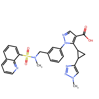 CN(Cc1cccc(-n2ncc(C(=O)O)c2C2CC2c2cn(C)nn2)c1)S(=O)(=O)c1cccc2cccnc12